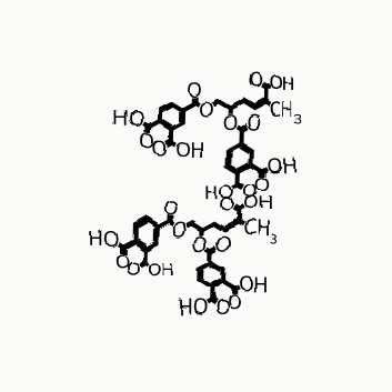 CC(=CCC(COC(=O)c1ccc(C(=O)O)c(C(=O)O)c1)OC(=O)c1ccc(C(=O)O)c(C(=O)O)c1)C(=O)O.CC(=CCC(COC(=O)c1ccc(C(=O)O)c(C(=O)O)c1)OC(=O)c1ccc(C(=O)O)c(C(=O)O)c1)C(=O)O